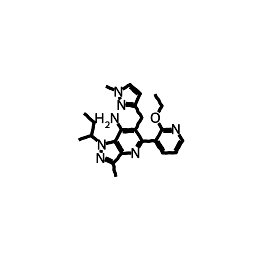 CCOc1ncccc1-c1nc2c(C)nn(C(C)CC)c2c(N)c1Cc1ccn(C)n1